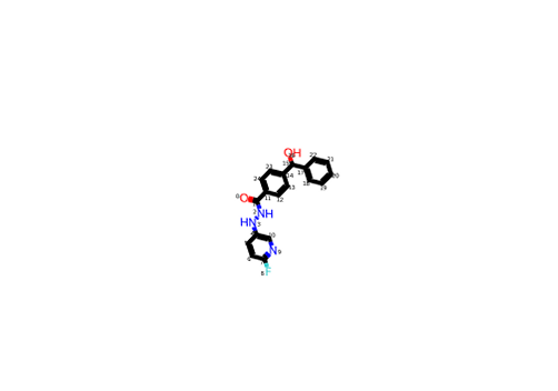 O=C(NNc1ccc(F)nc1)c1ccc(C(O)c2ccccc2)cc1